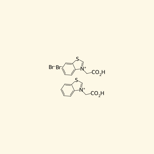 O=C(O)C[n+]1csc2ccccc21.O=C(O)C[n+]1csc2ccccc21.[Br-].[Br-]